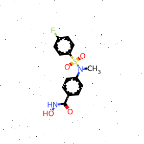 CN(c1ccc(C(=O)NO)cc1)S(=O)(=O)c1ccc(F)cc1